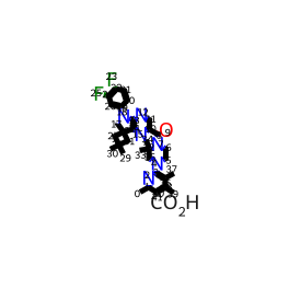 Cc1nc(N2CCN(C(=O)c3cnc4c(n3)C3(CN4c4ccc(F)c(F)c4)CC(C)(C)C3)C(C)(C)C2)c(C)c(C)c1C(=O)O